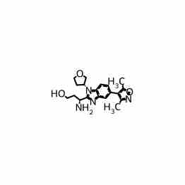 Cc1noc(C)c1-c1ccc2c(c1)nc([C@@H](N)CCO)n2[C@@H]1CCOC1